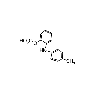 Cc1ccc(Nc2ccccc2OC(=O)O)cc1